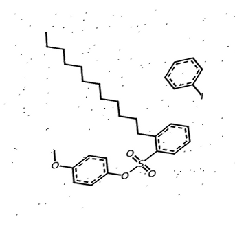 CCCCCCCCCCCCc1ccccc1S(=O)(=O)Oc1ccc(OC)cc1.Ic1ccccc1